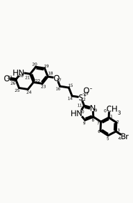 Cc1cc(Br)ccc1-c1c[nH]c([S+]([O-])CCCOc2ccc3c(c2)CCC(=O)N3)n1